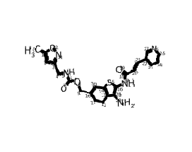 Cc1cc(CNC(=O)OC[C@@H]2CCc3c(sc(NC(=O)/C=C/c4cccnc4)c3N)C2)no1